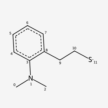 CN(C)c1ccccc1CC[S]